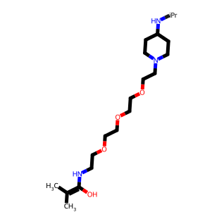 CC(C)=C(O)NCCOCCOCCOCCN1CCC(NC(C)C)CC1